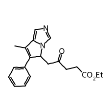 CCOC(=O)CCC(=O)CC1C(c2ccccc2)=C(C)c2cncn21